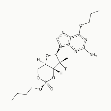 CCCCO[P@@]1(=O)OC[C@H]2O[C@@H](n3cnc4c(OCCC)nc(N)nc43)[C@](C)(F)[C@@H]2O1